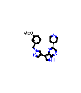 COc1cccc(Cn2cc(-c3c[nH]c4ncc(-c5ccncc5)nc34)cn2)c1